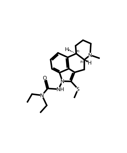 CCN(CC)C(=O)Nn1c(SC)c2c3c(cccc31)[C@H]1CCCN(C)[C@@H]1C2